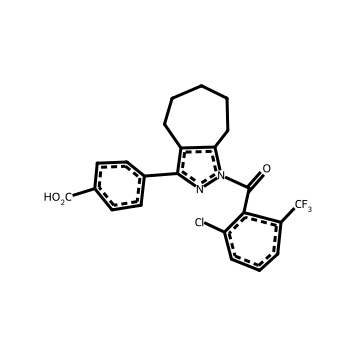 O=C(O)c1ccc(-c2nn(C(=O)c3c(Cl)cccc3C(F)(F)F)c3c2CCCCC3)cc1